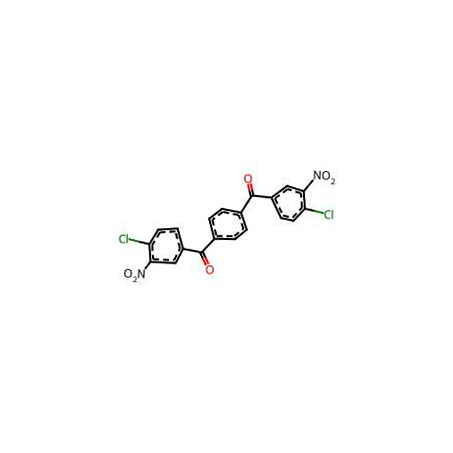 O=C(c1ccc(C(=O)c2ccc(Cl)c([N+](=O)[O-])c2)cc1)c1ccc(Cl)c([N+](=O)[O-])c1